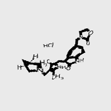 Cc1[nH]c(/C=C2\C(=O)Nc3ccc(CN4CCOC4=O)cc32)c(C)c1CN1C[C@H]2C[C@H]2C1.Cl